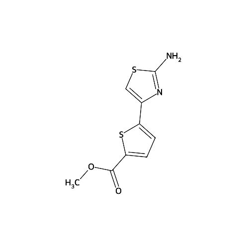 COC(=O)c1ccc(-c2csc(N)n2)s1